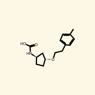 Cc1ccc(CCO[C@@H]2CC[C@@H](NC(=O)O)C2)cc1